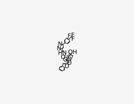 O=C(NCc1cc(-c2ccc(C(F)(F)F)cc2)ncn1)[C@@H]1[C@@H](O)CCN1S(=O)(=O)c1cc2ccccc2o1